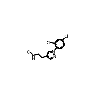 ClNCCc1cnn(-c2ccc(Cl)cc2Cl)c1